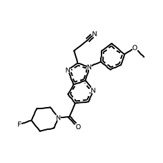 COc1ccc(-n2c(CC#N)nc3cc(C(=O)N4CCC(F)CC4)cnc32)cc1